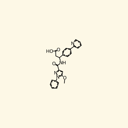 COc1cc(C(=O)NC(CC(=O)O)c2ccc(-c3ccccn3)cc2)nn1-c1ccccc1